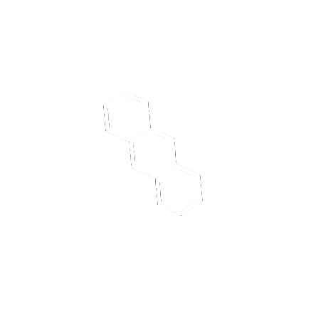 [c]1[c]cc2cc3ccccc3[c]c2c1